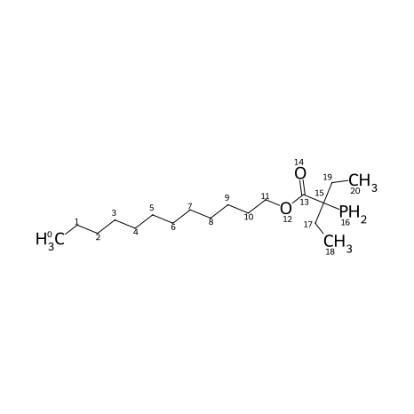 CCCCCCCCCCCCOC(=O)C(P)(CC)CC